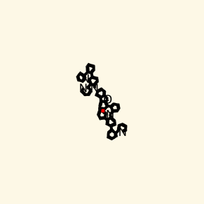 c1ccc(-c2ccccc2-c2ccc3c(c2)c2ccccc2n3-c2ccccc2-c2cccc3c2oc2ccc(-n4c5ccc(-c6ccccc6-c6ccccn6)cc5c5ncccc54)cc23)nc1